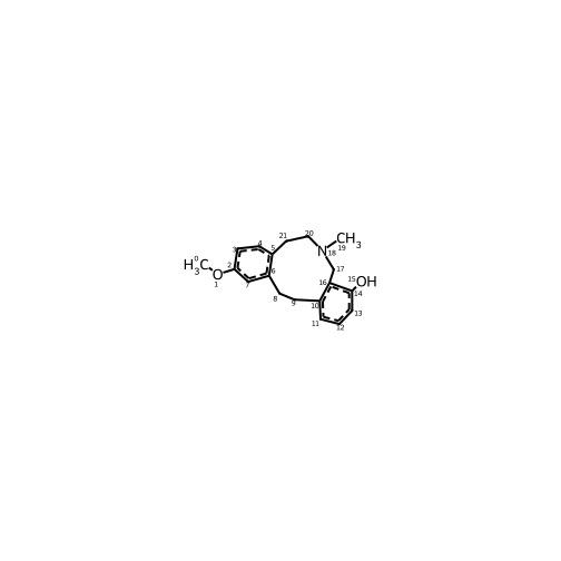 COc1ccc2c(c1)CCc1cccc(O)c1CN(C)CC2